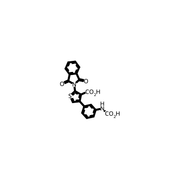 O=C(O)Nc1cccc(-c2csc(N3C(=O)c4ccccc4C3=O)c2C(=O)O)c1